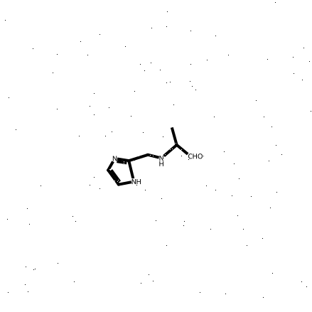 CC([C]=O)NCc1ncc[nH]1